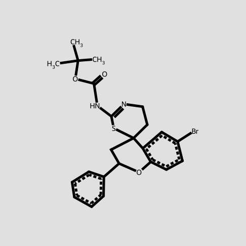 CC(C)(C)OC(=O)NC1=NCCC2(CC(c3ccccc3)Oc3ccc(Br)cc32)S1